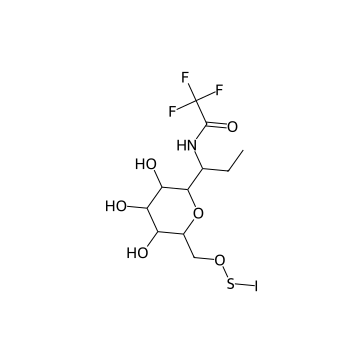 CCC(NC(=O)C(F)(F)F)C1OC(COSI)C(O)C(O)C1O